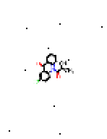 C=C(C)C(=O)Nc1ccc(Cl)cc1C(=O)c1ccccc1